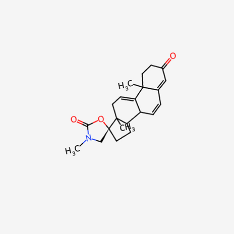 CN1C[C@@]2(CCC3C4C=CC5=CC(=O)CCC5(C)C4=CCC32C)OC1=O